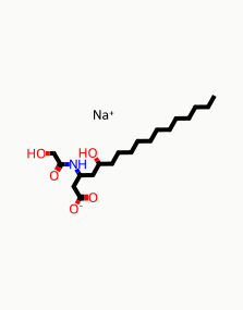 CCCCCCCCCCCCC(O)CC(CC(=O)[O-])NC(=O)CO.[Na+]